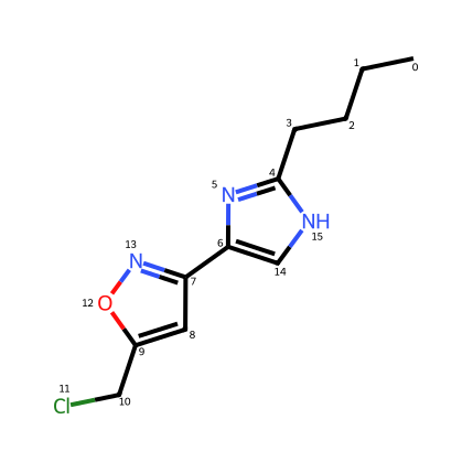 CCCCc1nc(-c2cc(CCl)on2)c[nH]1